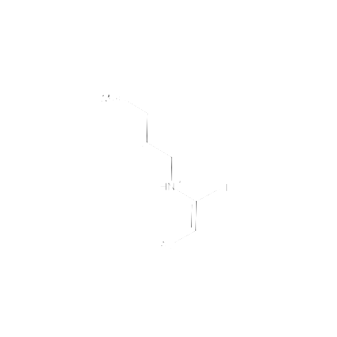 COCCCN/C(=C\C(C)=O)C(F)(F)F